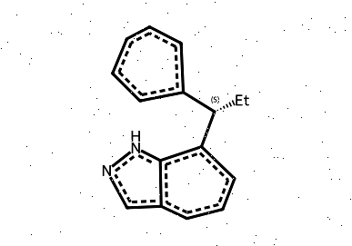 [CH2]C[C@@H](c1ccccc1)c1cccc2cn[nH]c12